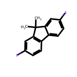 CC1(C)c2cc(I)ccc2-c2ccc(I)cc21